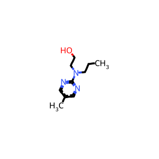 CCCN(CCO)c1ncc(C)cn1